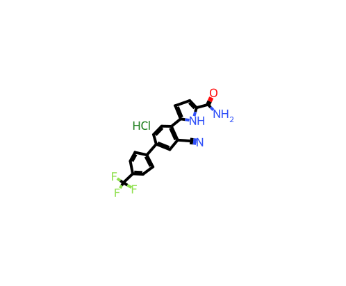 Cl.N#Cc1cc(-c2ccc(C(F)(F)F)cc2)ccc1-c1ccc(C(N)=O)[nH]1